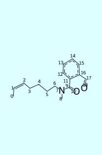 C/C=C\CCCCN(C)C(=O)c1ccccc1C=O